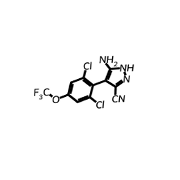 N#Cc1n[nH]c(N)c1-c1c(Cl)cc(OC(F)(F)F)cc1Cl